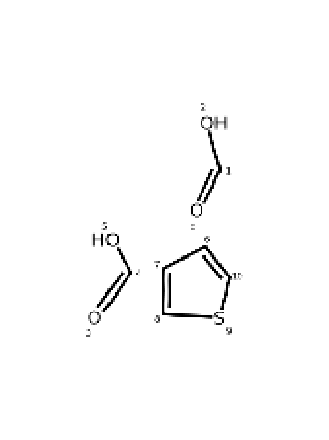 O=CO.O=CO.c1ccsc1